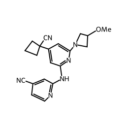 COC1CN(c2cc(C3(C#N)CCC3)cc(Nc3cc(C#N)ccn3)n2)C1